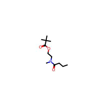 CCCC(=O)N(C)CCOC(=O)C(C)(C)C